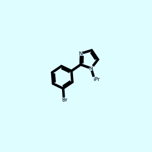 CC(C)n1ccnc1-c1cccc(Br)c1